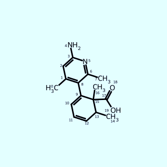 Cc1cc(N)nc(C)c1C1=CC=CC(C)C1(C)C(=O)O